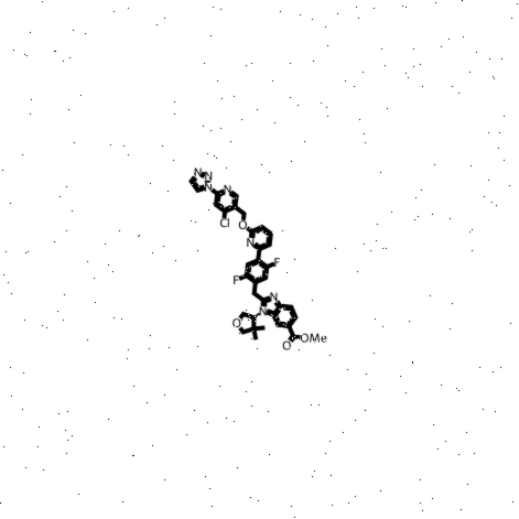 COC(=O)c1ccc2nc(Cc3cc(F)c(-c4cccc(OCc5cnc(-n6ccnn6)cc5Cl)n4)cc3F)n([C@@H]3COCC3(C)C)c2c1